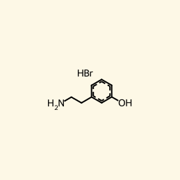 Br.NCCc1cccc(O)c1